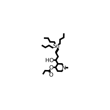 CCC[CH2][Sn]([CH]=CCC(O)C1CN(C)CCC1OC(=O)CC)([CH2]CCC)[CH2]CCC